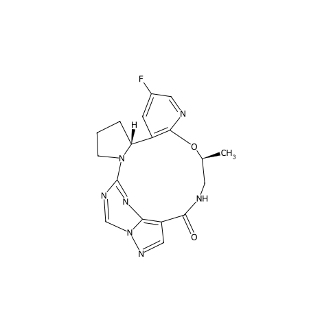 C[C@H]1CNC(=O)c2cnn3cnc(nc23)N2CCC[C@@H]2c2cc(F)cnc2O1